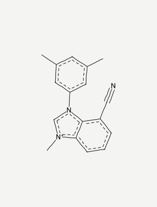 Cc1cc(C)cc(-n2c[n+](C)c3cccc(C#N)c32)c1